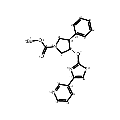 CC(C)(C)OC(=O)N1C[C@@H](Oc2nc(-c3cccnc3)cs2)[C@H](c2ccccc2)C1